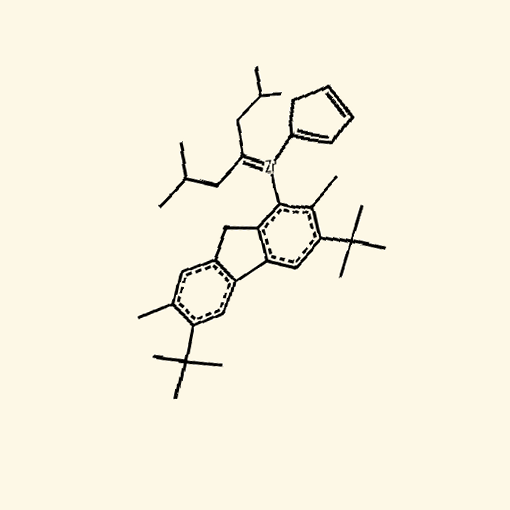 Cc1cc2c(cc1C(C)(C)C)-c1cc(C(C)(C)C)c(C)[c]([Zr]([C]3=CC=CC3)=[C](CC(C)C)CC(C)C)c1C2